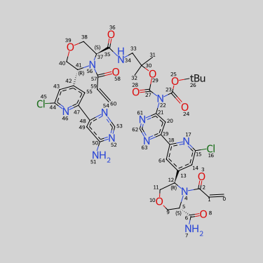 C=CC(=O)N1[C@H](C(N)=O)COC[C@H]1c1cc(Cl)nc(-c2cc(N(C(=O)OC(C)(C)C)C(=O)OC(C)(C)CNC(=O)[C@@H]3COC[C@@H](c4cc(Cl)nc(-c5cc(N)ncn5)c4)N3C(=O)C=C)ncn2)c1